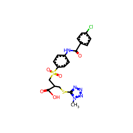 Cn1nnnc1SCC(CS(=O)(=O)c1ccc(NC(=O)c2ccc(Cl)cc2)cc1)C(=O)O